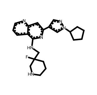 FC1(CNc2nc(-c3cnn(C4CCCC4)c3)cc3ncccc23)CCCNC1